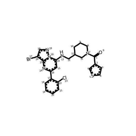 O=C(c1ccsc1)N1CCCC(CNc2cc(-c3ccccc3Cl)nc3c(Br)cnn23)C1